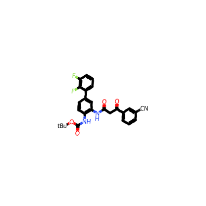 CC(C)(C)OC(=O)Nc1ccc(-c2cccc(F)c2F)cc1NC(=O)CC(=O)c1cccc(C#N)c1